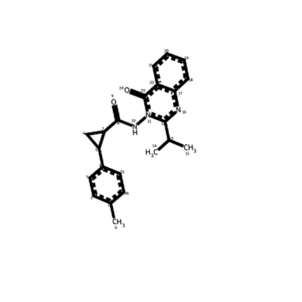 Cc1ccc(C2CC2C(=O)Nn2c(C(C)C)nc3ccccc3c2=O)cc1